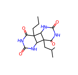 CCCC12C(=O)NC(=O)NC1C1(CC(C)C)C(=O)NC(=O)NC21